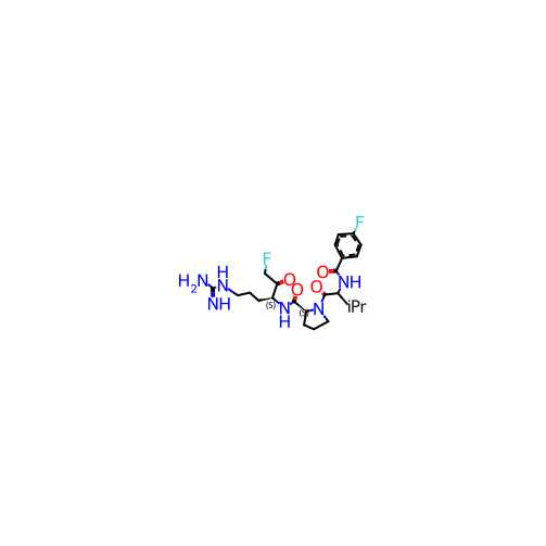 CC(C)C(NC(=O)c1ccc(F)cc1)C(=O)N1CCC[C@H]1C(=O)N[C@@H](CCCNC(=N)N)C(=O)CF